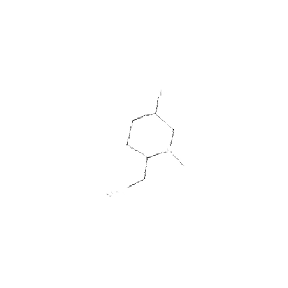 COCC1CCC(C(C)C)CN1C(C)C